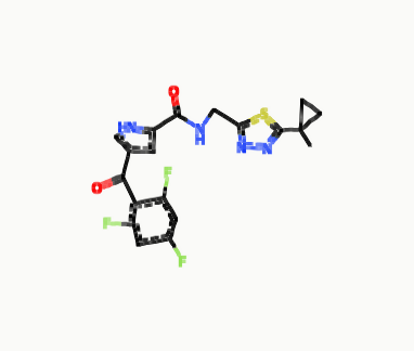 CC1(c2nnc(CNC(=O)c3cc(C(=O)c4c(F)cc(F)cc4F)c[nH]3)s2)CC1